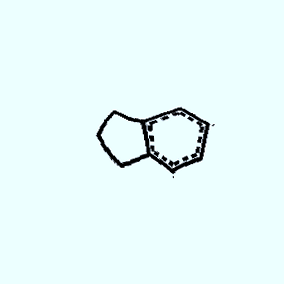 [c]1c[c]c2c(c1)CCC2